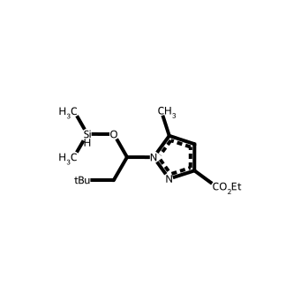 CCOC(=O)c1cc(C)n(C(CC(C)(C)C)O[SiH](C)C)n1